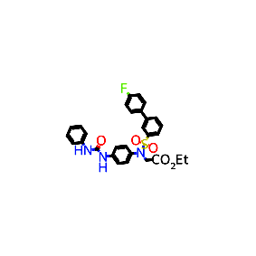 CCOC(=O)CN(c1ccc(NC(=O)Nc2ccccc2)cc1)S(=O)(=O)c1cccc(-c2ccc(F)cc2)c1